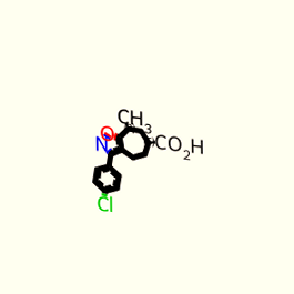 C[C@@H]1C[C@@H](C(=O)O)CCc2c(-c3ccc(Cl)cc3)noc21